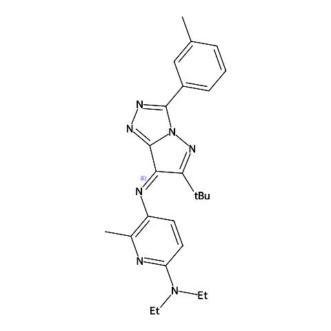 CCN(CC)c1ccc(/N=C2\C(C(C)(C)C)=Nn3c2nnc3-c2cccc(C)c2)c(C)n1